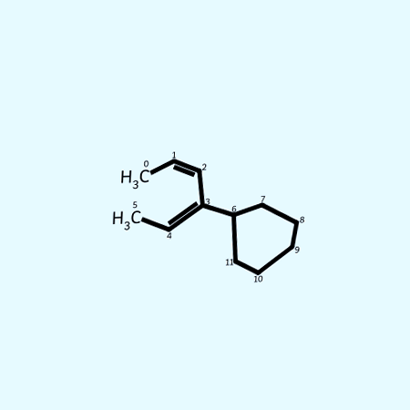 C/C=C\C(=C/C)C1CCCCC1